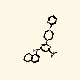 CN(C)c1cc(Nc2cccc3c2CCCC3)nc(N2CCN(c3ccccn3)CC2)n1